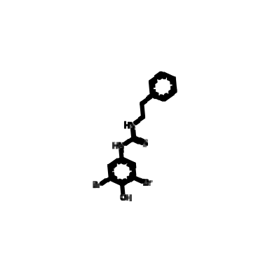 Oc1c(Br)cc(NC(=S)NCCc2ccccc2)cc1Br